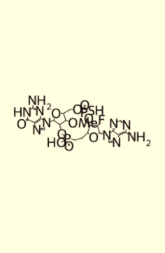 COC1C2COP(=O)(S)OC3C(CCP(=O)(O)OC1C(n1cnc4c(=O)[nH]c(N)nc41)O2)OC(n1cnc2c(N)ncnc21)C3F